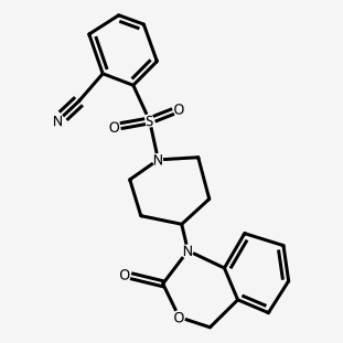 N#Cc1ccccc1S(=O)(=O)N1CCC(N2C(=O)OCc3ccccc32)CC1